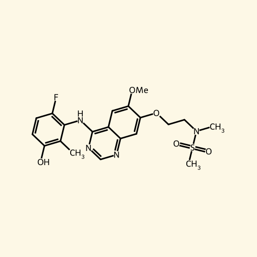 COc1cc2c(Nc3c(F)ccc(O)c3C)ncnc2cc1OCCN(C)S(C)(=O)=O